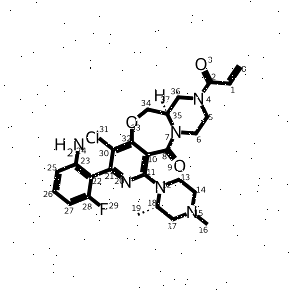 C=CC(=O)N1CCN2C(=O)c3c(N4CCN(C)C[C@@H]4C)nc(-c4c(N)cccc4F)c(Cl)c3OC[C@H]2C1